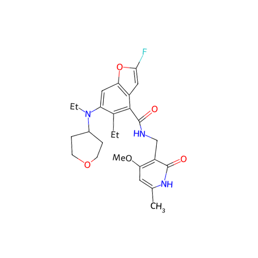 CCc1c(N(CC)C2CCOCC2)cc2oc(F)cc2c1C(=O)NCc1c(OC)cc(C)[nH]c1=O